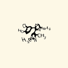 Cc1nn(C)cc1-c1nc(N)cnc1-c1ccc(O)c(Cl)c1